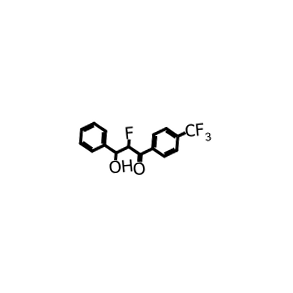 O=C(c1ccc(C(F)(F)F)cc1)C(F)C(O)c1ccccc1